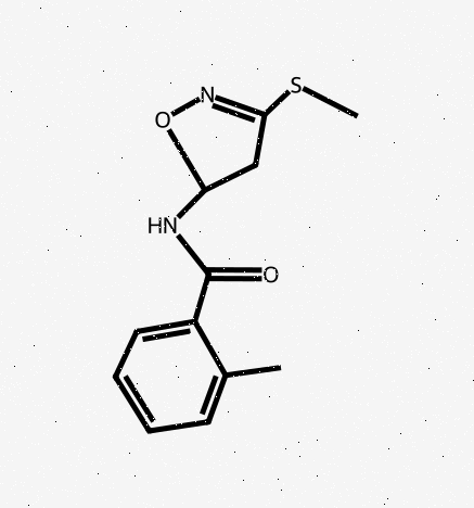 CSC1=NOC(NC(=O)c2ccccc2C)C1